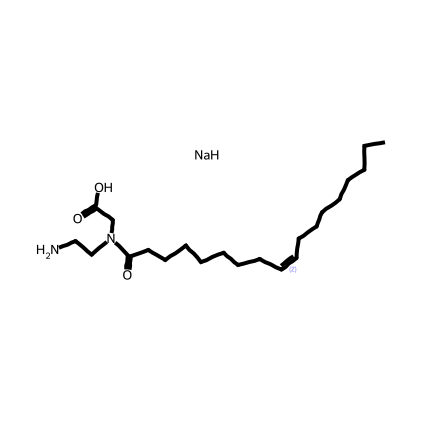 CCCCCCCC/C=C\CCCCCCCC(=O)N(CCN)CC(=O)O.[NaH]